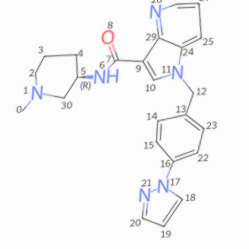 CN1CCC[C@@H](NC(=O)c2cn(Cc3ccc(-n4cccn4)cc3)c3cccnc23)C1